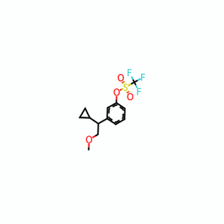 COCC(c1cccc(OS(=O)(=O)C(F)(F)F)c1)C1CC1